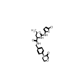 CCCC(NC(=O)Nc1ccc(Cl)s1)C(=O)NCc1ccc(N2CCOCC2=O)cc1